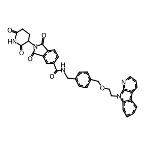 O=C1CCC(N2C(=O)c3ccc(C(=O)NCc4ccc(COCCn5c6ccccc6c6cccnc65)cc4)cc3C2=O)C(=O)N1